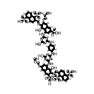 O=S(=O)(O)c1cc(Nc2nc(O)nc(Nc3ccc(Nc4nc(O)nc(Nc5cc(SOOO)cc6cc(S(=O)(=O)O)c(N=Nc7ccc8c(S(=O)(=O)O)cccc8c7S(=O)(=O)O)c(O)c56)n4)cc3)n2)c2c(O)c(N=Nc3ccc4c(S(=O)(=O)O)cccc4c3S(=O)(=O)O)c(SOOO)cc2c1